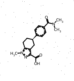 CN(C)C(=O)c1ccc([C@@H]2CCc3c(c(C(=O)O)nn3C)C2)cc1